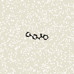 Nc1sc2c(c1C(=O)c1ccc(-c3ccccc3)cc1)CCCC2